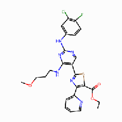 CCOC(=O)c1sc(-c2cnc(Nc3ccc(F)c(Cl)c3)nc2NCCCOC)nc1-c1ccccn1